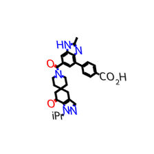 Cc1nc2c(-c3ccc(C(=O)O)cc3)cc(C(=O)N3CCC4(CC3)CC(=O)c3c(cnn3C(C)C)C4)cc2[nH]1